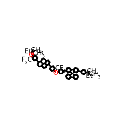 CCC(C)(C)Oc1ccc(C2=CCc3ccc4c(-c5ccc(Oc6ccc(-c7ccc8c(c7)C7(c9ccccc9-c9ccccc97)c7cc(-c9ccc(C(C)(C)CC)cc9)ccc7-8)cc6)c(C(F)(F)F)c5)ccc5c4c3C2=CC5)cc1C(F)(F)F